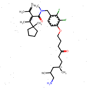 C=C(C)/C(C(=O)N(C)Cc1ccc(OCCCC(=O)CC[C@@H](C)CC(C#N)CN)c(F)c1F)=C(\C)C1(C)CCCC1